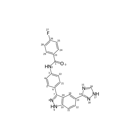 O=C(Nc1ccc(-c2n[nH]c3ccc(-c4nc[nH]n4)cc23)cc1)c1ccc(F)cc1